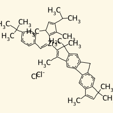 CC1=CC(C)(C)c2cc3c(cc21)-c1cc2c(cc1C3)C(C)(C)[C]([Zr+2](=[CH]c1ccc(C(C)(C)C)cc1)[C]1=C(C)C(C(C)C)=CC1C)=C2C.[Cl-].[Cl-]